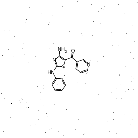 Nc1nc(Nc2ccccc2)sc1C(=O)c1cccnc1